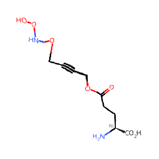 N[C@@H](CCC(=O)OCC#CCONOO)C(=O)O